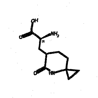 N[C@@H](CC1CCC2(CC2)NC1=O)C(=O)O